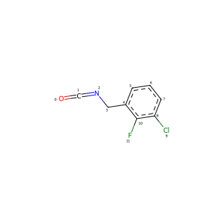 O=C=NCc1cccc(Cl)c1F